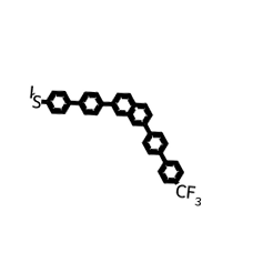 FC(F)(F)c1ccc(-c2ccc(-c3ccc4ccc(-c5ccc(-c6ccc(SI)cc6)cc5)cc4c3)cc2)cc1